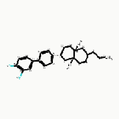 CCCC1CC[C@@H]2C[C@H](c3ccc(-c4ccc(F)c(F)c4)cc3)CC[C@@H]2C1